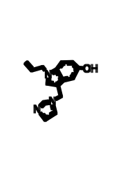 C=CCn1cc(Cn2ccnc2)c2cc(O)ccc21